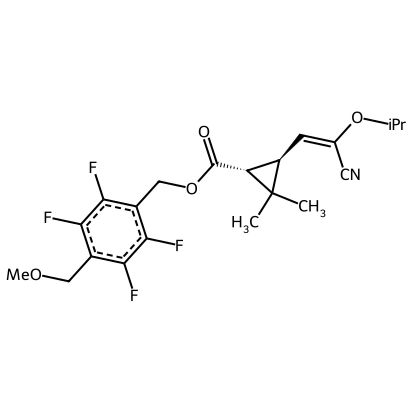 COCc1c(F)c(F)c(COC(=O)[C@@H]2[C@@H](/C=C(\C#N)OC(C)C)C2(C)C)c(F)c1F